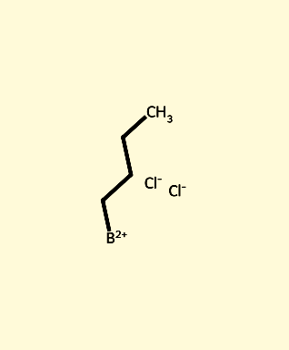 [B+2]CCCC.[Cl-].[Cl-]